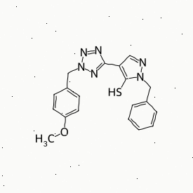 COc1ccc(Cn2nnc(-c3cnn(Cc4ccccc4)c3S)n2)cc1